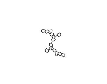 c1ccc(-n2c3ccc(-c4ccc5c(c4)c4cc6c(cc4n5-c4ccccc4)oc4cc5ccccc5cc46)cc3c3cc4c(cc32)oc2cc3ccccc3cc24)cc1